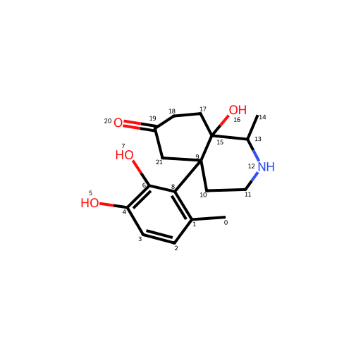 Cc1ccc(O)c(O)c1C12CCNC(C)C1(O)CCC(=O)C2